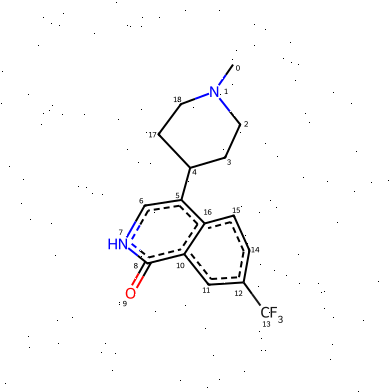 CN1CCC(c2c[nH]c(=O)c3cc(C(F)(F)F)ccc23)CC1